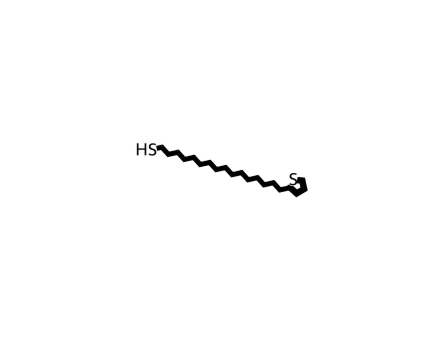 SCCCCCCCCCCCCCCCCc1cccs1